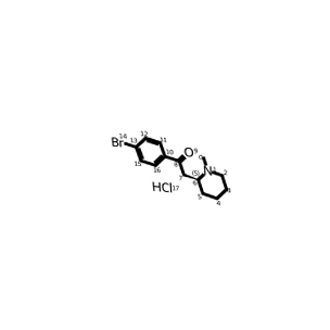 CN1CCCC[C@H]1CC(=O)c1ccc(Br)cc1.Cl